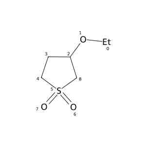 CCOC1CCS(=O)(=O)C1